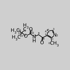 Cc1ncsc1C(=O)CNC(=O)OC(C)(C)C